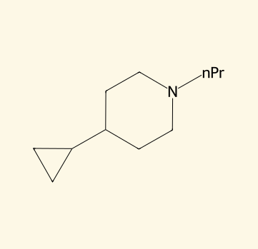 CCCN1CCC(C2CC2)CC1